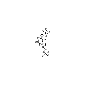 CC(C)(C)CCCOc1cccc(OCC(C)(C)C)c1